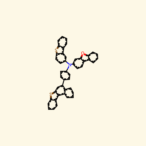 c1ccc2c(c1)oc1cc(N(c3ccc(-c4cc5sc6ccccc6c5c5ccccc45)cc3)c3ccc4sc5ccccc5c4c3)ccc12